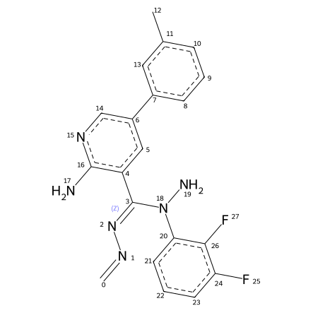 C=N/N=C(/c1cc(-c2cccc(C)c2)cnc1N)N(N)c1cccc(F)c1F